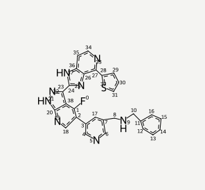 Fc1c(-c2cncc(CNCc3ccccc3)c2)cnc2[nH]nc(-c3nc4c(-c5cccs5)nccc4[nH]3)c12